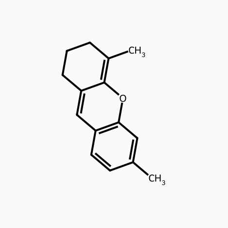 CC1=C2Oc3cc(C)ccc3C=C2CCC1